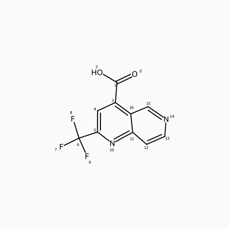 O=C(O)c1cc(C(F)(F)F)nc2ccncc12